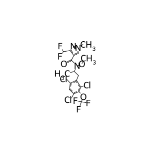 CON(C(=O)c1cn(C)nc1C(F)F)C(C)Cc1c(Cl)cc(Cl)c(OC(F)(F)F)c1Cl